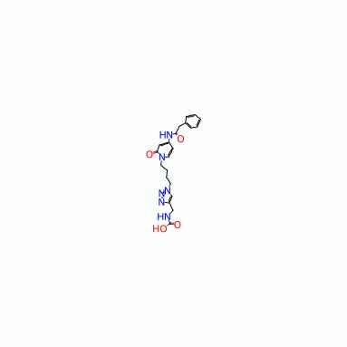 O=C(O)NCc1cn(CCCCn2ccc(NC(=O)Cc3ccccc3)cc2=O)nn1